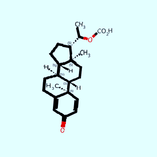 CC(OC(=O)O)[C@H]1CC[C@H]2[C@@H]3CCC4=CC(=O)C=C[C@]4(C)[C@H]3CC[C@]12C